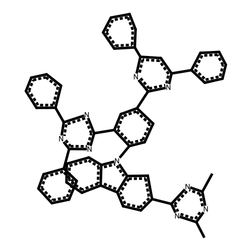 Cc1nc(C)nc(-c2ccc3c4ccccc4n(-c4ccc(-c5nc(-c6ccccc6)cc(-c6ccccc6)n5)cc4-c4nc(-c5ccccc5)nc(-c5ccccc5)n4)c3c2)n1